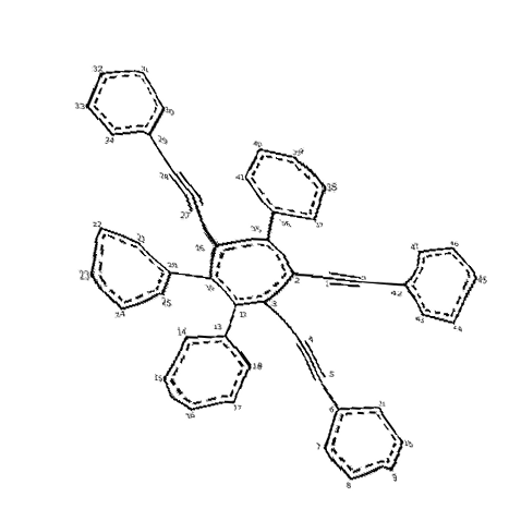 C(#Cc1c(C#Cc2ccccc2)c(-c2ccccc2)c(-c2ccccc2)c(C#Cc2ccccc2)c1-c1ccccc1)c1ccccc1